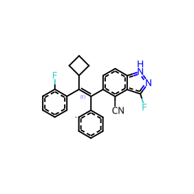 N#Cc1c(/C(=C(/c2ccccc2F)C2CCC2)c2[c]cccc2)ccc2[nH]nc(F)c12